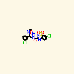 O=C(NCC(c1cccc(Cl)c1)c1ncco1)C1=Nc2ccc(Cl)cc2S(=O)(=O)N1